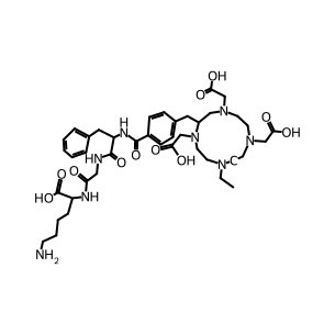 CCN1CCN(CC(=O)O)CCN(CC(=O)O)CC(Cc2ccc(C(=O)NC(Cc3ccccc3)C(=O)NCC(=O)NC(CCCCN)C(=O)O)cc2)N(CC(=O)O)CC1